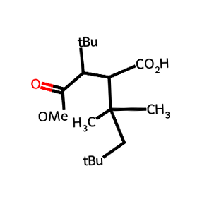 COC(=O)C(C(C(=O)O)C(C)(C)CC(C)(C)C)C(C)(C)C